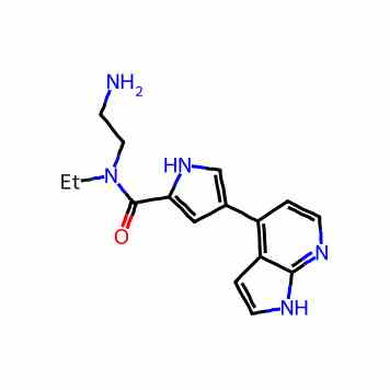 CCN(CCN)C(=O)c1cc(-c2ccnc3[nH]ccc23)c[nH]1